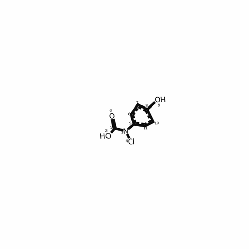 O=C(O)N(Cl)c1ccc(O)cc1